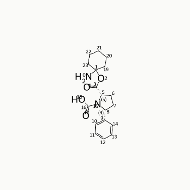 NC1(OC(=O)[C@@H]2CC[C@H](c3ccccc3)N2C(=O)O)CCCCC1